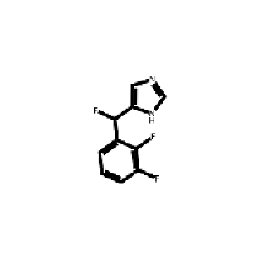 Fc1cccc(C(F)c2cnc[nH]2)c1F